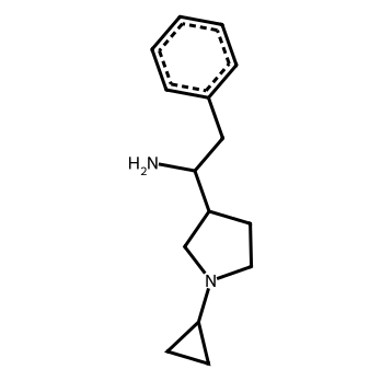 NC(Cc1ccccc1)C1CCN(C2CC2)C1